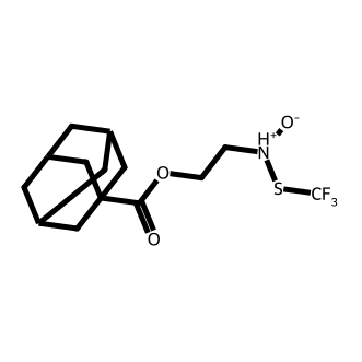 O=C(OCC[NH+]([O-])SC(F)(F)F)C12CC3CC(CC(C3)C1)C2